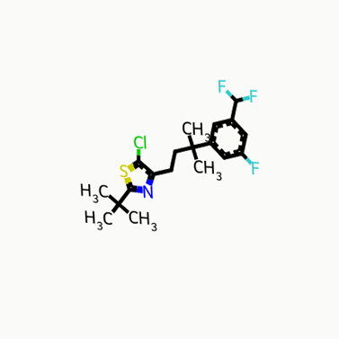 CC(C)(C)c1nc(CCC(C)(C)c2cc(F)cc(C(F)F)c2)c(Cl)s1